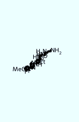 CCc1cc(Nc2nccn3c(-c4ccc(OC)c(F)c4F)cnc23)ccc1C(=O)N[C@H](C)CNC(=O)[C@@H](N)CCCCN